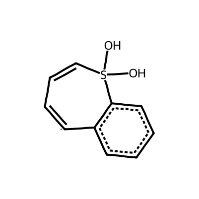 OS1(O)C=CC=[C]c2ccccc21